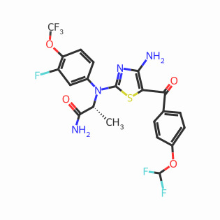 C[C@H](C(N)=O)N(c1ccc(OC(F)(F)F)c(F)c1)c1nc(N)c(C(=O)c2ccc(OC(F)F)cc2)s1